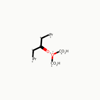 CC(C)CC(=O)CC(C)C.O=C(O)OC(=O)O